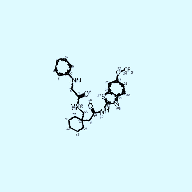 O=C(CNc1ccccc1)NCC1(CC(=O)Nc2nc3ccc(OC(F)(F)F)cc3s2)CCCCC1